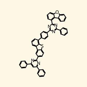 c1ccc(-c2cc(-c3ccccc3)nc(-c3ccc4sc5c(-c6ccc(-c7nc(-c8ccccc8)nc(-c8cccc9oc%10ccccc%10c89)n7)cc6)cccc5c4c3)n2)cc1